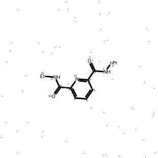 CCCNC(=O)c1cccc(C(=O)NCC)n1